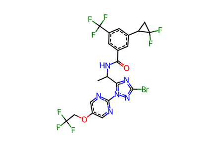 CC(NC(=O)c1cc(C2CC2(F)F)cc(C(F)(F)F)c1)c1nc(Br)nn1-c1ncc(OCC(F)(F)F)cn1